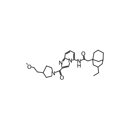 CCC1CC2CCCC(CC(=O)Nc3cccc4nc(C(=O)N5CCC(CCOC)CC5)cn34)(C1)C2